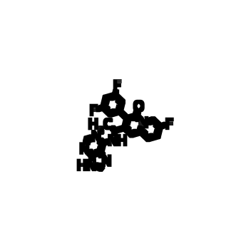 CC(Nc1ncnc2[nH]cnc12)c1cc2ccc(F)cn2c(=O)c1-c1cc(F)cc(F)c1